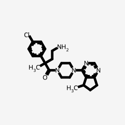 CC1CCc2ncnc(N3CCN(C(=O)C(C)(CCN)c4ccc(Cl)cc4)CC3)c21